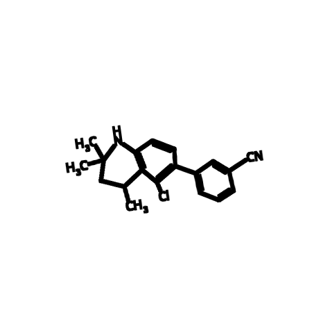 CC1CC(C)(C)Nc2ccc(-c3cccc(C#N)c3)c(Cl)c21